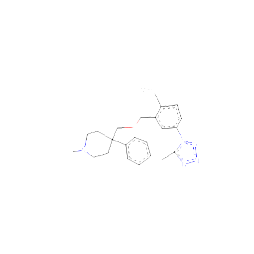 COc1ccc(-n2nnnc2C)cc1COCC1(c2ccccc2)CCN(C(=O)O)CC1